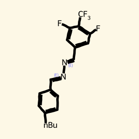 CCCCc1ccc(/C=N/N=C/c2cc(F)c(C(F)(F)F)c(F)c2)cc1